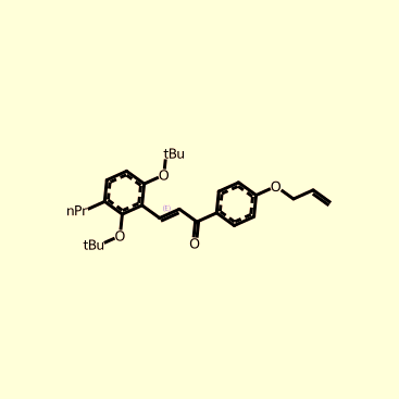 C=CCOc1ccc(C(=O)/C=C/c2c(OC(C)(C)C)ccc(CCC)c2OC(C)(C)C)cc1